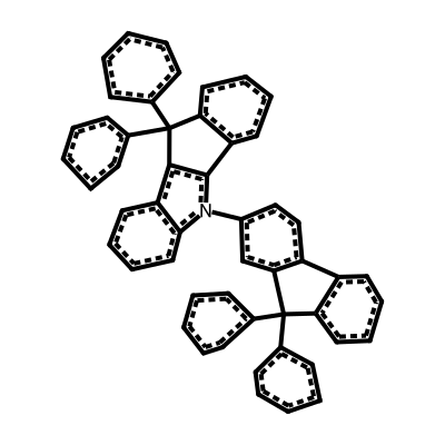 c1ccc(C2(c3ccccc3)c3ccccc3-c3ccc(-n4c5c(c6ccccc64)C(c4ccccc4)(c4ccccc4)c4ccccc4-5)cc32)cc1